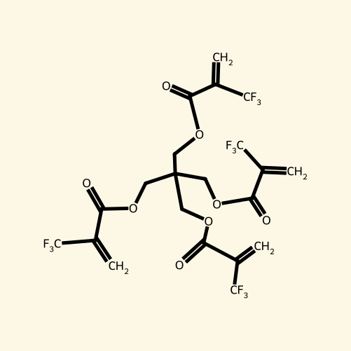 C=C(C(=O)OCC(COC(=O)C(=C)C(F)(F)F)(COC(=O)C(=C)C(F)(F)F)COC(=O)C(=C)C(F)(F)F)C(F)(F)F